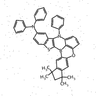 CC1(C)CC(C)(C)c2cc3c(cc21)Oc1cccc2c1B3c1sc3ccc(N(c4ccccc4)c4ccccc4)cc3c1N2c1ccccc1